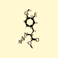 COC(=O)[C@H](Cc1ccc(OC)c(F)c1)N=[N+]=[N-]